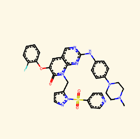 CN1CCN(c2ccc(Nc3ncc4cc(Oc5ccccc5F)c(=O)n(Cc5ccnn5S(=O)(=O)c5ccncc5)c4n3)cc2)CC1